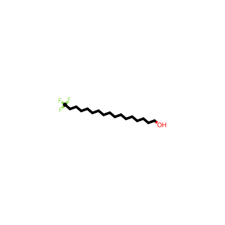 OCCCCCCCCCCCCCCCCC(F)(F)F